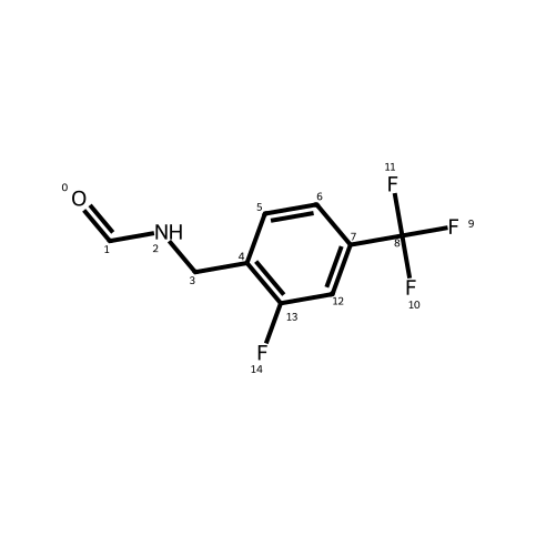 O=CNCc1ccc(C(F)(F)F)cc1F